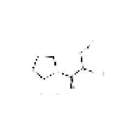 CC(C[25SH])C(=O)N1CCC[C@H]1C(=O)O